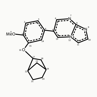 COc1ccc(-c2cnc3nccn3c2)cc1OC1CC2CCC1C2